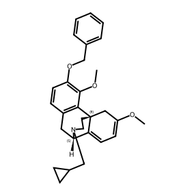 COC1=CC=C2[C@@H]3Cc4ccc(OCc5ccccc5)c(OC)c4[C@]2(CCN3CC2CC2)C1